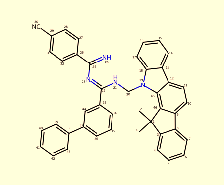 CC1(C)c2ccccc2-c2ccc3c4ccccc4n(CN/C(=N\C(=N)c4ccc(C#N)cc4)c4cccc(-c5ccccc5)c4)c3c21